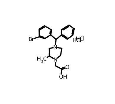 CC1CN(C(c2ccccc2)c2cccc(Br)c2)CCN1CC(=O)O.Cl.Cl